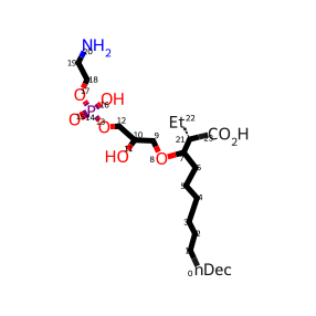 CCCCCCCCCCCCCCCCC(OCC(O)COP(=O)(O)OCCN)[C@H](CC)C(=O)O